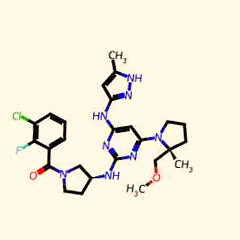 COC[C@@]1(C)CCCN1c1cc(Nc2cc(C)[nH]n2)nc(N[C@H]2CCN(C(=O)c3cccc(Cl)c3F)C2)n1